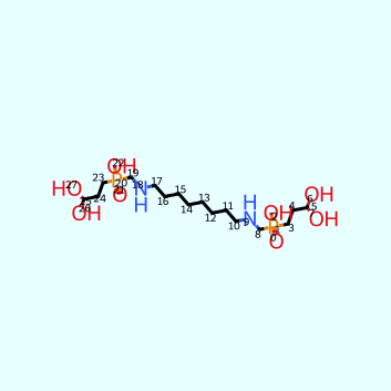 O=P(O)(CCC(O)O)CNCCCCCCCCNCP(=O)(O)CCC(O)O